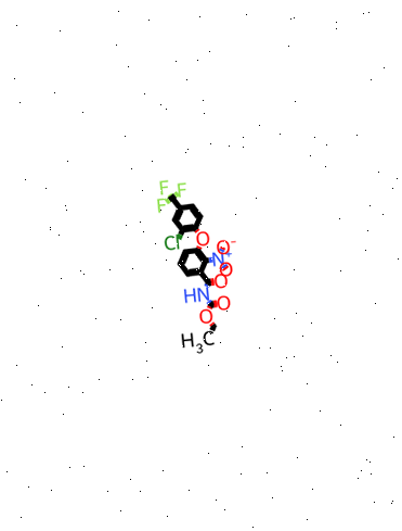 CCOC(=O)NC(=O)c1cccc(Oc2ccc(C(F)(F)F)cc2Cl)c1[N+](=O)[O-]